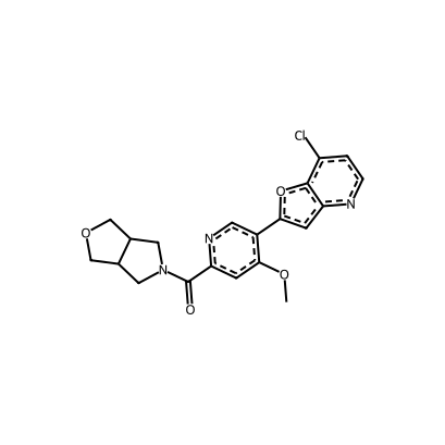 COc1cc(C(=O)N2CC3COCC3C2)ncc1-c1cc2nccc(Cl)c2o1